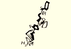 NS(=O)(=O)N1CCN(c2ccc(N3CC(CNC(=S)C4CCCCC4)OC3=O)cc2F)CC1